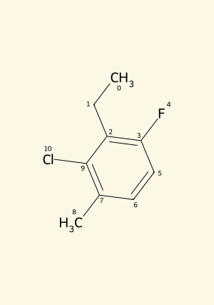 CCc1c(F)ccc(C)c1Cl